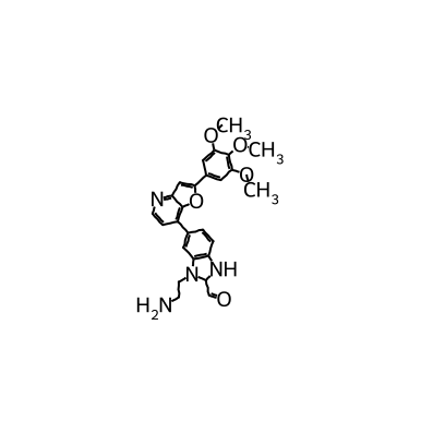 COc1cc(-c2cc3nccc(-c4ccc5c(c4)N(CCN)C(C=O)N5)c3o2)cc(OC)c1OC